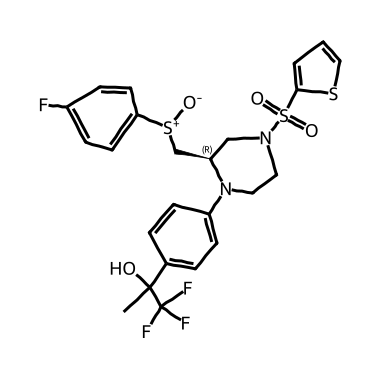 CC(O)(c1ccc(N2CCN(S(=O)(=O)c3cccs3)C[C@@H]2C[S+]([O-])c2ccc(F)cc2)cc1)C(F)(F)F